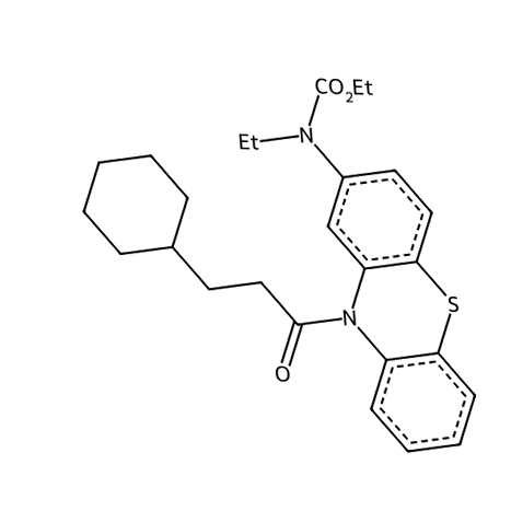 CCOC(=O)N(CC)c1ccc2c(c1)N(C(=O)CCC1CCCCC1)c1ccccc1S2